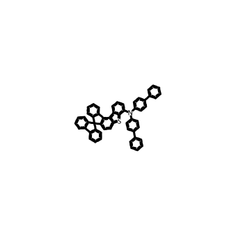 c1ccc(-c2ccc(N(c3ccc(-c4ccccc4)cc3)c3cccc4c3sc3ccc5c(c34)-c3ccccc3C53c4ccccc4-c4ccccc43)cc2)cc1